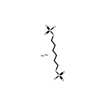 O=S(=O)([O-])SCCCCCCSS(=O)(=O)[O-].[Na+].[Na+]